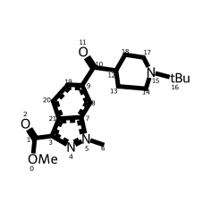 COC(=O)c1nn(C)c2cc(C(=O)C3CCN(C(C)(C)C)CC3)ccc12